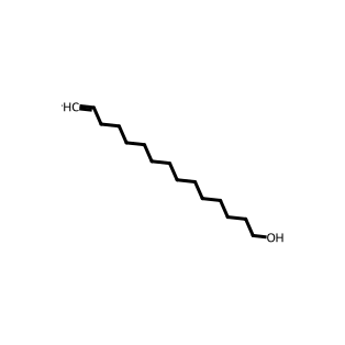 [CH]=CCCCCCCCCCCCCCO